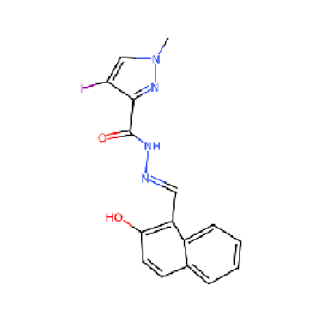 Cn1cc(I)c(C(=O)N/N=C/c2c(O)ccc3ccccc23)n1